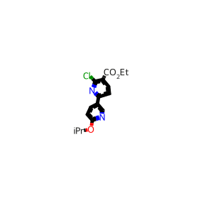 CCOC(=O)c1ccc(-c2ccc(OC(C)C)nc2)nc1Cl